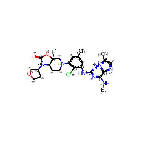 CCNc1nc(Nc2cc(C#N)cc(N3CCC4[C@@H](C3)OC(=O)N4[C@H]3CCOC3)c2Cl)nn2c(C#N)cnc12